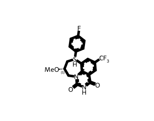 CO[C@H]1Cn2c(=O)[nH]c(=O)c3cc(C(F)(F)F)cc(c32)[SH](c2ccc(F)cc2)C1